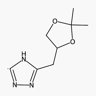 CC1(C)OCC(Cc2nn[c][nH]2)O1